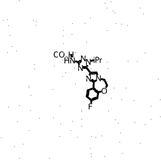 CC(C)n1nc(NC(=O)O)nc1-c1cn2c(n1)-c1ccc(F)cc1OCC2